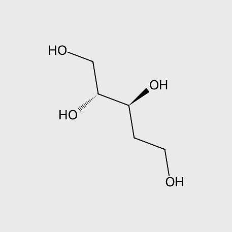 OCC[C@H](O)[C@H](O)CO